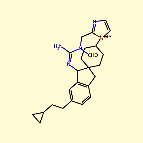 COC1CCC2(CC1)Cc1ccc(CCC3CC3)cc1C2/N=C(/N)N(C=O)Cc1nccs1